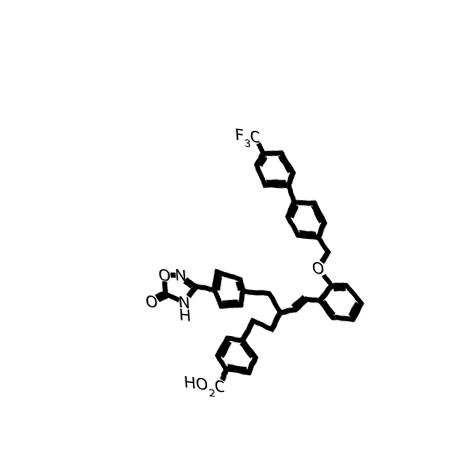 O=C(O)c1ccc(CCC(C=Cc2ccccc2OCc2ccc(-c3ccc(C(F)(F)F)cc3)cc2)Cc2ccc(-c3noc(=O)[nH]3)cc2)cc1